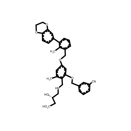 Cc1cc(OCc2cccc(-c3ccc4c(c3)OCCO4)c2C)cc(OCc2cccc(C#N)c2)c1CNC[C@@H](O)CC(=O)O